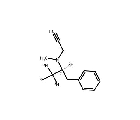 [2H]C([2H])([2H])[C@]([2H])(Cc1ccccc1)N(C)CC#C